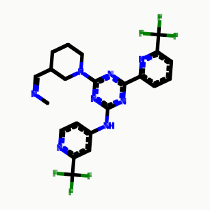 C/N=C\C1CCCN(c2nc(Nc3ccnc(C(F)(F)F)c3)nc(-c3cccc(C(F)(F)F)n3)n2)C1